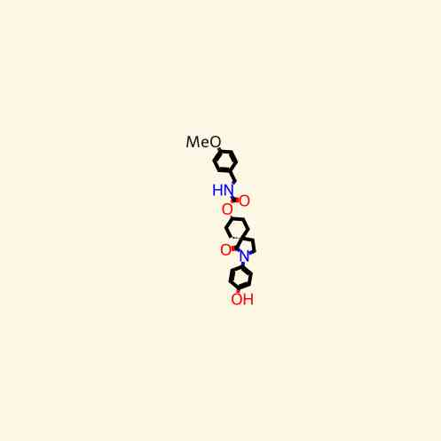 COc1ccc(CNC(=O)O[C@H]2CC[C@@]3(CCN(c4ccc(O)cc4)C3=O)CC2)cc1